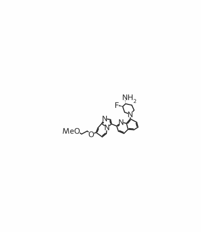 COCCOc1ccn2c(-c3ccc4cccc(N5CC[C@@H](N)[C@H](F)C5)c4n3)cnc2c1